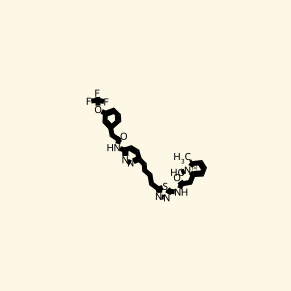 C[C@H]1C=CC=C(CC(=O)Nc2nnc(CCCCc3ccc(NC(=O)Cc4cccc(OC(F)(F)F)c4)nn3)s2)N1O